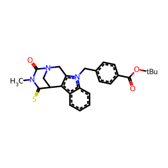 CN1C(=O)N2Cc3c(c4ccccc4n3Cc3ccc(C(=O)OC(C)(C)C)cc3)C(C2)C1=S